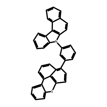 c1cc(-c2ccc3c4c(cccc24)-c2ccccc2S3)cc(-n2c3ccccc3c3c4ccccc4ccc32)c1